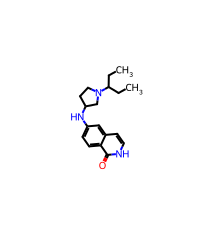 CCC(CC)N1CCC(Nc2ccc3c(=O)[nH]ccc3c2)C1